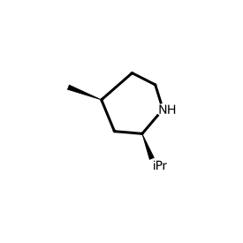 CC(C)[C@H]1C[C@@H](C)CCN1